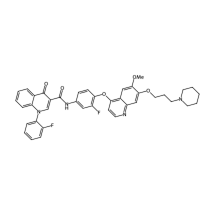 COc1cc2c(Oc3ccc(NC(=O)c4cn(-c5ccccc5F)c5ccccc5c4=O)cc3F)ccnc2cc1OCCCN1CCCCC1